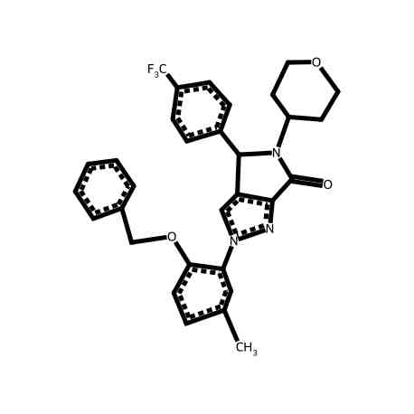 Cc1ccc(OCc2ccccc2)c(-n2cc3c(n2)C(=O)N(C2CCOCC2)C3c2ccc(C(F)(F)F)cc2)c1